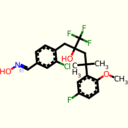 COc1ccc(F)cc1C(C)(C)CC(O)(Cc1ccc(/C=N/O)cc1Cl)C(F)(F)F